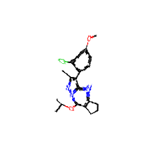 COc1ccc(-c2c(C)nn3c(OC(C)C)c4c(nc23)CCC4)c(Cl)c1